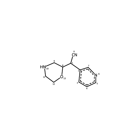 N#CC(c1cccnc1)C1CNCCO1